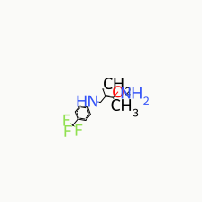 C=C/C(CNc1ccc(C(F)(F)F)cc1)=C(/C)ON